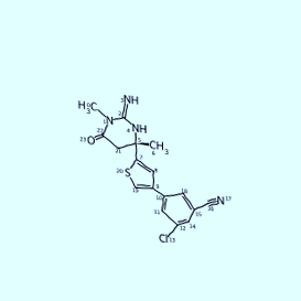 CN1C(=N)N[C@](C)(c2cc(-c3cc(Cl)cc(C#N)c3)cs2)CC1=O